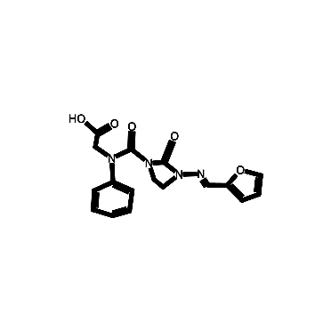 O=C(O)CN(C(=O)N1CCN(N=Cc2ccco2)C1=O)c1ccccc1